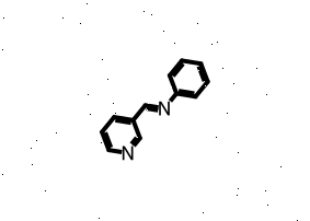 C(=Nc1ccccc1)c1cccnc1